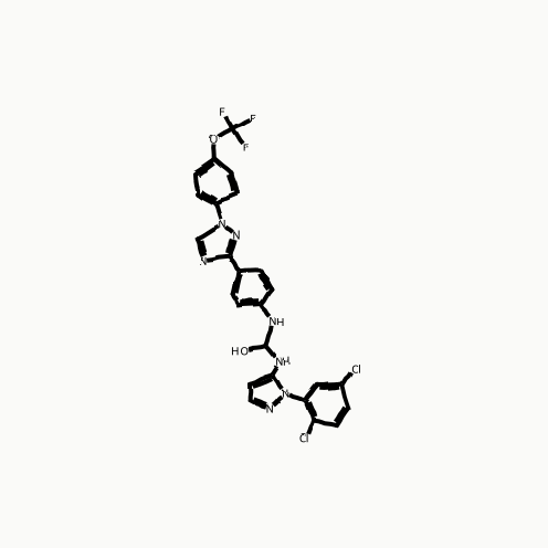 OC(Nc1ccc(-c2ncn(-c3ccc(OC(F)(F)F)cc3)n2)cc1)Nc1ccnn1-c1cc(Cl)ccc1Cl